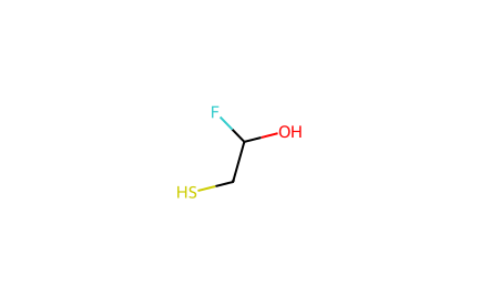 OC(F)CS